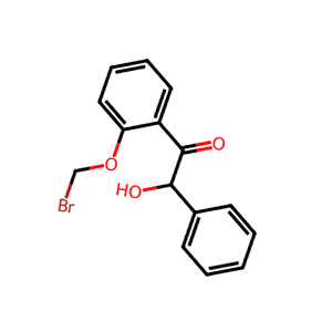 O=C(c1ccccc1OCBr)C(O)c1ccccc1